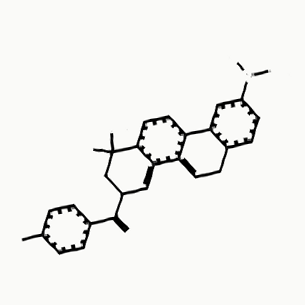 CN(C)c1ccc2c(c1)-c1ccc3c(c1=CC2)=CC(C(=O)c1ccc(F)cc1)CC3(C)C